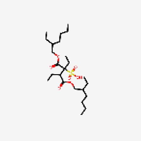 CCCCC(CC)COC(=O)C(CC)C(CC)(C(=O)OCC(CC)CCCC)S(=O)(=O)O